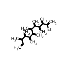 C=CC(=C)C(=C)C(=C)C(=C)C(=C)C(=C)C(=C)C(=C)C(=C)CC